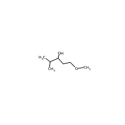 COCCC(O)C(C)C